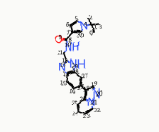 CC(C)(C)n1ccc(C(=O)NCc2nc3ccc(-c4cnn5ccccc45)cc3[nH]2)c1